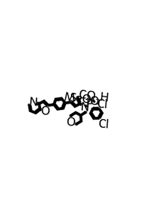 COP(=O)(c1ccc(Cl)cc1Cl)N(CC1CCOCC1)c1cc(-c2ccc(-c3cc4ncccc4o3)cc2)sc1C(=O)O